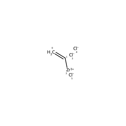 C=[CH][Zr+3].[Cl-].[Cl-].[Cl-]